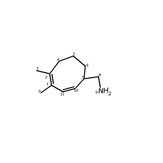 CC1=C(\C)CCCC(CN)/C=C\1